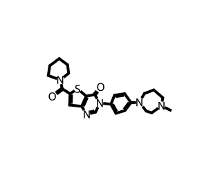 CN1CCCN(c2ccc(-n3cnc4cc(C(=O)N5CCCCC5)sc4c3=O)cc2)CC1